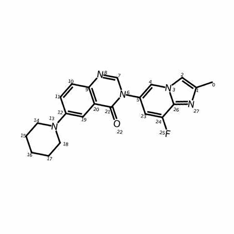 Cc1cn2cc(-n3cnc4ccc(N5CCCCC5)cc4c3=O)cc(F)c2n1